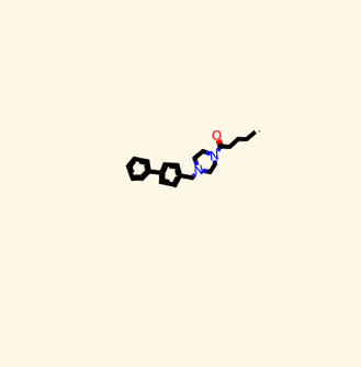 [CH2]CCCC(=O)N1CCN(Cc2ccc(-c3ccccc3)cc2)CC1